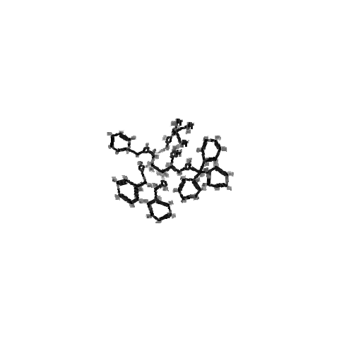 CC(C)[Si](OC[C@@H](OCc1ccccc1)[C@@H](OCc1ccccc1)[C@@H](OCc1ccccc1)C(O)COC(c1ccccc1)(c1ccccc1)c1ccccc1)(C(C)C)C(C)C